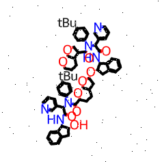 CC(C)(C)c1ccc(N(C(=O)C2CCC3CC(O[C@H]4Cc5ccccc5[C@H]4NC(=O)C(c4cccnc4)N(C(=O)C4COC5OCCCC54)c4ccc(C(C)(C)C)cc4)OC3O2)C(C(=O)N[C@@H]2c3ccccc3C[C@@H]2O)c2cccnc2)cc1